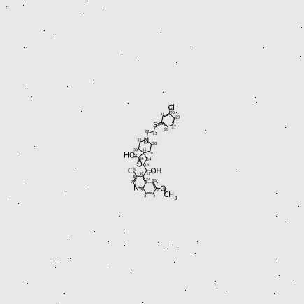 COc1ccc2ncc(Cl)c(C(O)CCC3(C(=O)O)CCN(CCSc4cccc(Cl)c4)CC3)c2c1